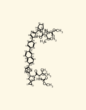 COC(=O)N[C@H](C(=O)N1CC2(CC2)C[C@H]1c1ncc(-c2ccc3cc(-c4ccc(-c5cnc(C6C7CC[C@H](C7)N6C(=O)[C@@H](NC(=O)OC)C(C)C)[nH]5)cc4)ccc3c2)[nH]1)C(C)C